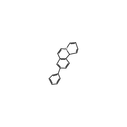 C1=CC2c3ccc(-c4ccccc4)cc3C=CN2C=C1